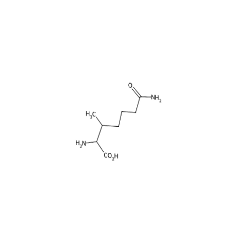 CC(CCCC(N)=O)C(N)C(=O)O